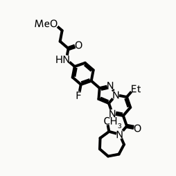 CCc1cc(C(=O)N2CCCCCC2C)nc2cc(-c3ccc(NC(=O)CCOC)cc3F)nn12